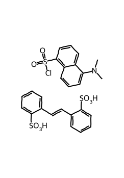 CN(C)c1cccc2c(S(=O)(=O)Cl)cccc12.O=S(=O)(O)c1ccccc1C=Cc1ccccc1S(=O)(=O)O